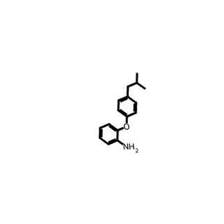 CC(C)Cc1ccc(Oc2ccccc2N)cc1